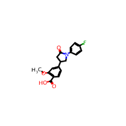 COc1cc(C2CC(=O)N(c3ccc(F)cc3)C2)ccc1C(=O)O